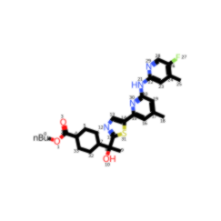 CCCCOC(=O)C1CCC(C(C)(O)c2ncc(-c3cc(C)cc(Nc4cc(C)c(F)cn4)n3)s2)CC1